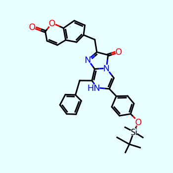 CC(C)(C)[Si](C)(C)Oc1ccc(-c2cn3c(=O)c(Cc4ccc5oc(=O)ccc5c4)nc-3c(Cc3ccccc3)[nH]2)cc1